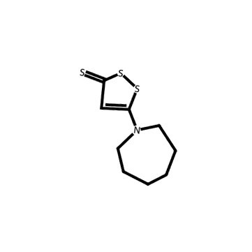 S=c1cc(N2CCCCCC2)ss1